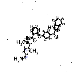 C=C(/C=C\C=C/N)C[C@@H](C)NC(=O)c1nccnc1Oc1ccc(C(=O)c2nc3ccccc3[nH]2)cc1